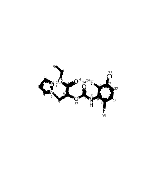 CCOC(=O)C(Cn1cccn1)OC(=O)Nc1c(F)ccc(Cl)c1F